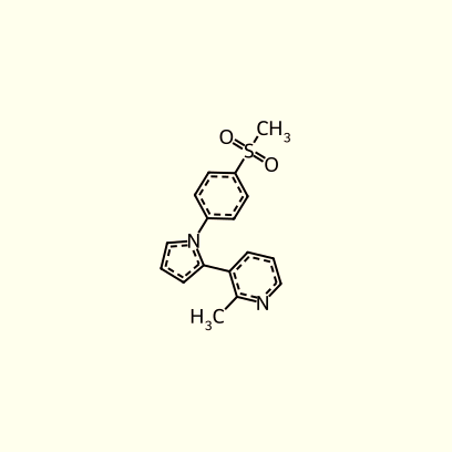 Cc1ncccc1-c1cccn1-c1ccc(S(C)(=O)=O)cc1